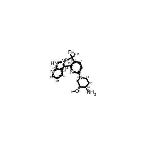 CO[C@H]1CN(c2ccc(C(F)(F)F)c(-c3n[nH]c4ncccc34)n2)CC[C@H]1N